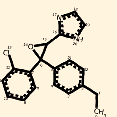 CCc1ccc(C2(c3ccccc3Cl)OC2c2ncc[nH]2)cc1